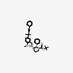 COc1ccc(C(C)(C)C#Cc2ccccc2)cc1CN[C@H]1CCCN(C(=O)OC(C)(C)C)[C@H]1c1ccccc1